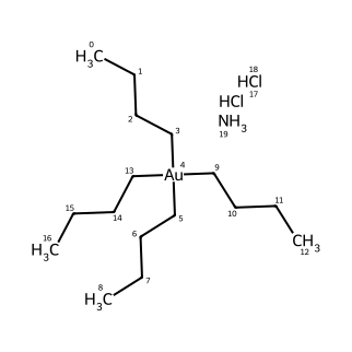 CCC[CH2][Au]([CH2]CCC)([CH2]CCC)[CH2]CCC.Cl.Cl.N